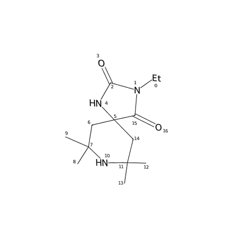 [CH2]CN1C(=O)NC2(CC(C)(C)NC(C)(C)C2)C1=O